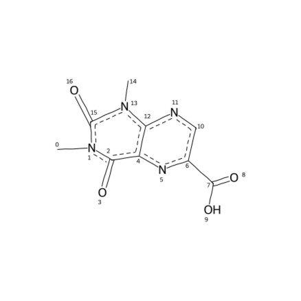 Cn1c(=O)c2nc(C(=O)O)cnc2n(C)c1=O